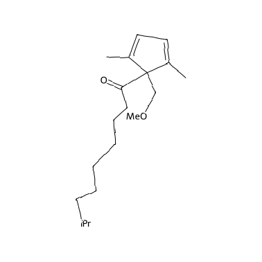 COCC1(C(=O)CCCCCCC(C)C)C(C)=CC=C1C